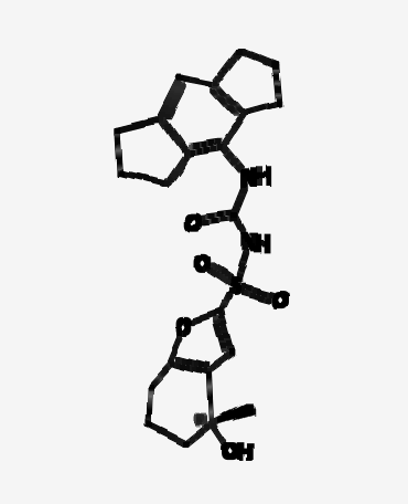 C[C@@]1(O)CCCc2oc(S(=O)(=O)NC(=O)Nc3c4c(cc5c3CCC5)CCC4)cc21